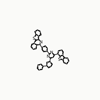 c1ccc(-c2cccc(-c3cc(-c4cccc5c4sc4ccccc45)nc(-c4ccc(-c5nc6c7ccccc7sc6c6ccccc56)cc4)n3)c2)cc1